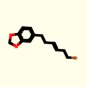 BrCC/C=C/CCc1ccc2c(c1)OCO2